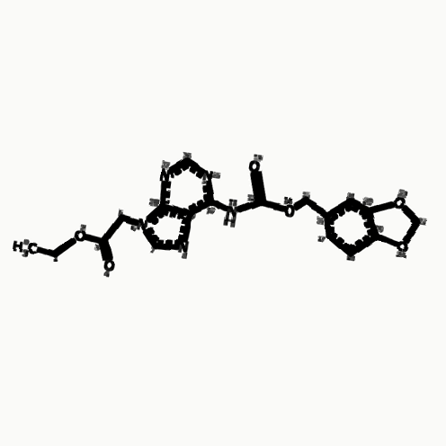 CCOC(=O)Cn1cnc2c(NC(=O)OCc3ccc4c(c3)OCO4)ncnc21